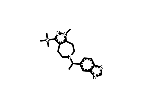 CC(c1ccc2scnc2c1)N1CCc2c(S(C)(C)C)nn(C)c2CC1